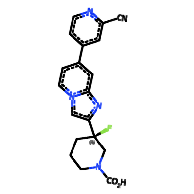 N#Cc1cc(-c2ccn3cc([C@@]4(F)CCCN(C(=O)O)C4)nc3c2)ccn1